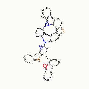 Cc1c(-n2c3ccc4sc5ccc6c7ccccc7n7c8cccc2c8c3c4c5c67)nc2c(sc3ccccc32)c1-c1cccc2c1oc1ccccc12